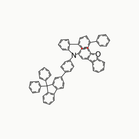 c1ccc(-c2ccc(-c3ccccc3N(c3ccc(-c4ccc5c(c4)C(c4ccccc4)(c4ccccc4)c4ccccc4-5)cc3)c3ccc4oc5ccccc5c4c3)cc2)cc1